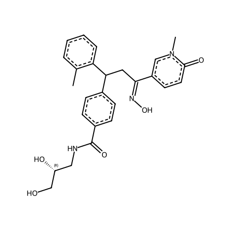 Cc1ccccc1C(CC(=NO)c1ccc(=O)n(C)c1)c1ccc(C(=O)NC[C@@H](O)CO)cc1